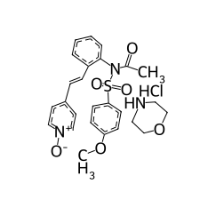 C1COCCN1.COc1ccc(S(=O)(=O)N(C(C)=O)c2ccccc2C=Cc2cc[n+]([O-])cc2)cc1.Cl